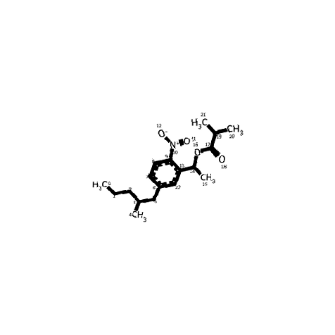 CCCC(C)Cc1ccc([N+](=O)[O-])c(C(C)OC(=O)C(C)C)c1